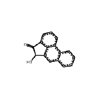 O=C1c2cccc3c2c(cc2ccccc23)C1O